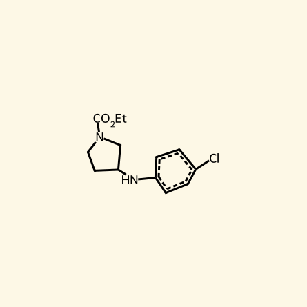 CCOC(=O)N1CCC(Nc2ccc(Cl)cc2)C1